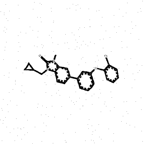 Cn1c(=O)n(CC2CC2)c2ccc(-c3cccc(Oc4ccccc4Cl)c3)cc21